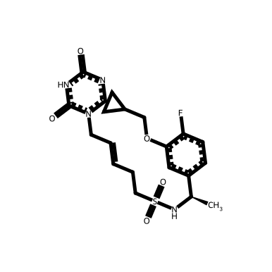 C[C@@H](NS(=O)(=O)CC/C=C/Cn1cnc(=O)[nH]c1=O)c1ccc(F)c(OCC2CC2)c1